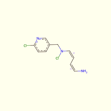 N/C=C\C=C/N(Cl)Cc1ccc(Cl)nc1